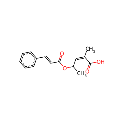 CC(=CC(C)OC(=O)C=Cc1ccccc1)C(=O)O